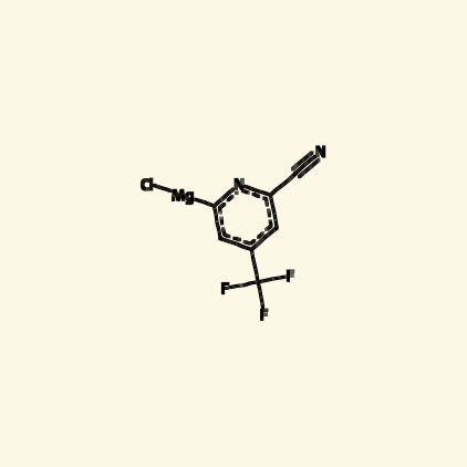 N#Cc1cc(C(F)(F)F)c[c]([Mg][Cl])n1